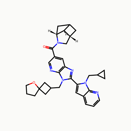 O=C(c1cnc2c(c1)nc(-c1cc3cccnc3n1CC1CC1)n2CC1CC2(CCCO2)C1)N1C[C@H]2CC3C[C@@H]1[C@H]32